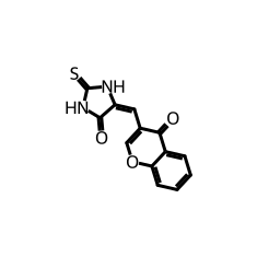 O=C1NC(=S)NC1=Cc1coc2ccccc2c1=O